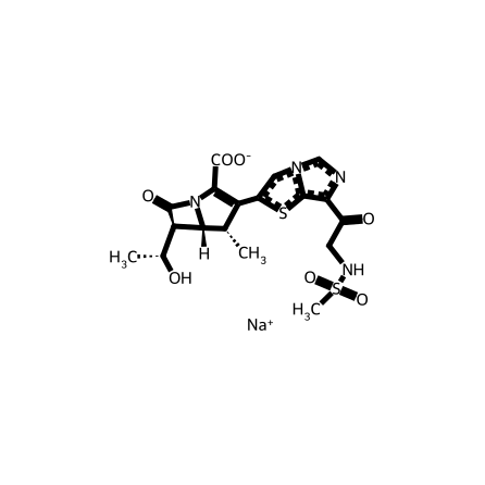 C[C@@H](O)[C@H]1C(=O)N2C(C(=O)[O-])=C(c3cn4cnc(C(=O)CNS(C)(=O)=O)c4s3)[C@H](C)[C@H]12.[Na+]